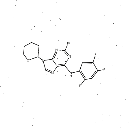 Fc1cc(F)c(Nc2nc(Br)nc3c2ncn3C2CCCCO2)cc1F